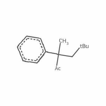 CC(=O)C(C)(CC(C)(C)C)c1ccccc1